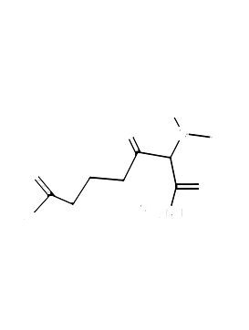 CN(C)C(C(N)=O)C(=O)[C@H](N)CCC(=O)O